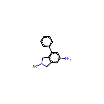 N#CN1Cc2cc(N)cc(-c3ccccc3)c2C1